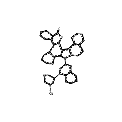 N#Cc1cccc(-c2nc(-n3c4ccc5ccccc5c4c4c5[nH]c(=O)c6ccccc6c5c5ccccc5c43)nc3ccccc23)c1